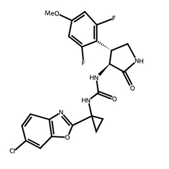 COc1cc(F)c([C@@H]2CNC(=O)[C@H]2NC(=O)NC2(c3nc4ccc(Cl)cc4o3)CC2)c(F)c1